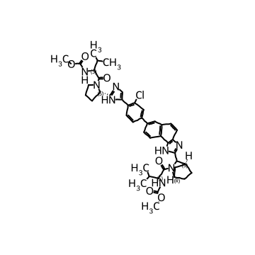 COC(=O)N[C@H](C(=O)N1CCC[C@H]1c1ncc(-c2ccc(-c3ccc4c(ccc5nc(C6[C@H]7CC[C@H](C7)N6C(=O)[C@@H](NC(=O)OC)C(C)C)[nH]c54)c3)cc2Cl)[nH]1)C(C)C